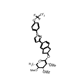 CO[C@@H]1[C@@H](OC)[C@H](C)O[C@@H](OC2Cc3ccc(-c4ccn(-c5ccc(OC(F)(F)C(F)(F)F)cc5)n4)cc3C2)[C@@H]1OC